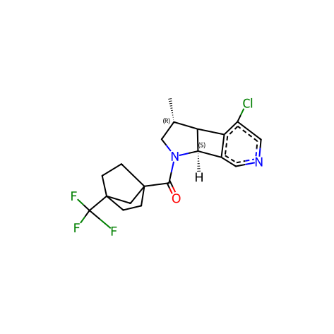 C[C@H]1CN(C(=O)C23CCC(C(F)(F)F)(CC2)C3)[C@@H]2c3cncc(Cl)c3C21